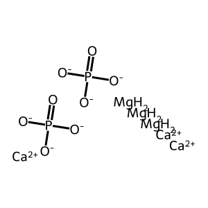 O=P([O-])([O-])[O-].O=P([O-])([O-])[O-].[Ca+2].[Ca+2].[Ca+2].[MgH2].[MgH2].[MgH2]